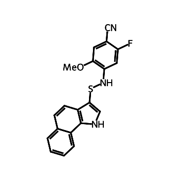 COc1cc(C#N)c(F)cc1NSc1c[nH]c2c1ccc1ccccc12